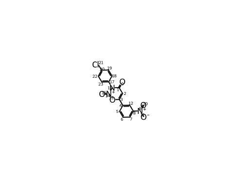 O=c1cc(-c2cccc([N+](=O)[O-])c2)o[n+](=O)n1-c1ccc(Cl)cc1